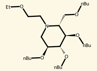 CCCCOC[C@@H]1[C@@H](OCCCC)[C@H](OCCCC)[C@@H](OCCCC)CN1CCOCC